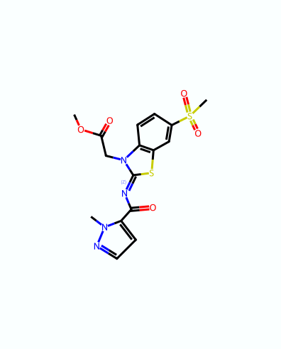 COC(=O)Cn1/c(=N/C(=O)c2ccnn2C)sc2cc(S(C)(=O)=O)ccc21